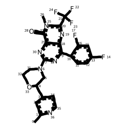 Cc1cc(C2CN(c3nc(-c4ccc(F)cc4F)c4nc(C(F)(F)F)n(C)c(=O)c4n3)CCO2)ccn1